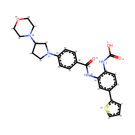 O=C(O)Nc1ccc(-c2cccs2)cc1NC(=O)c1ccc(N2CCC(N3CCOCC3)C2)cc1